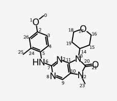 COc1ccc(Nc2ncc3c(n2)n(C2CCOCC2)c(=O)n3C)c(C)c1